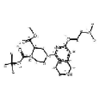 COC(=O)C1CN(c2nc(OCCN(C)C)nc3c2CCNC3)CCN1C(=O)OC(C)(C)C